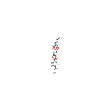 CCC=CC1COC(CCC2COC(C3CCC(CCC)CC3)OC2)OC1